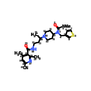 CNC(=O)N(Cc1ccsc1)C1CCN(C(C)CCNC(=O)c2c(C)cc(C#N)nc2C)CC1